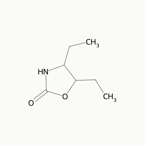 CCC1NC(=O)OC1CC